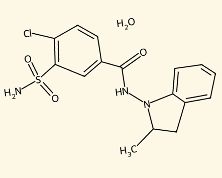 CC1Cc2ccccc2N1NC(=O)c1ccc(Cl)c(S(N)(=O)=O)c1.O